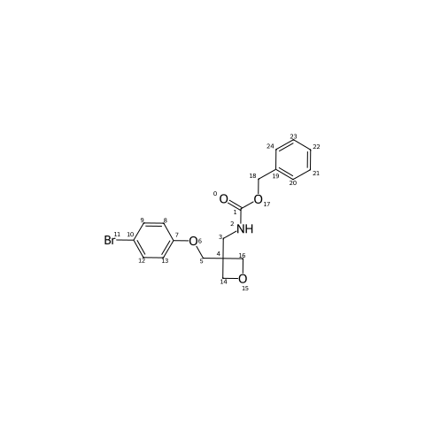 O=C(NCC1(COc2ccc(Br)cc2)COC1)OCc1ccccc1